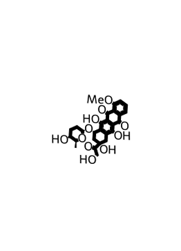 COc1cccc2c1C(=O)c1c(O)c3c(c(O)c1C2=O)C[C@@](O)(C(=O)CO)C[C@@H]3O[C@H]1CC[C@H](O)[C@H](C)O1